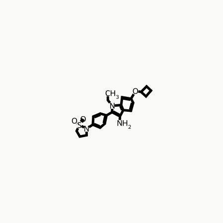 CCn1c(-c2ccc(N3CCCS3(=O)=O)cc2)c(N)c2ccc(OC3CCC3)cc21